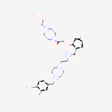 O=C(NCCN1CCN(Cc2ccc(Cl)c(Cl)c2)CC1)c1ccc(Cl)cc1OCC(=O)N1CCN(CCO)CC1